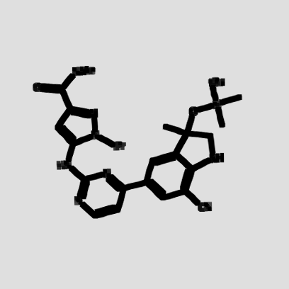 CNC(=O)c1cc(Nc2nccc(-c3cc(C#N)c4c(c3)C(C)(O[Si](C)(C)C(C)(C)C)CN4)n2)n(C(C)C)n1